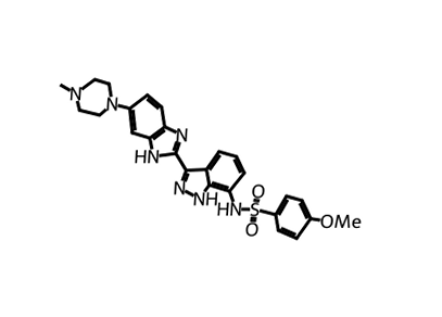 COc1ccc(S(=O)(=O)Nc2cccc3c(-c4nc5ccc(N6CCN(C)CC6)cc5[nH]4)n[nH]c23)cc1